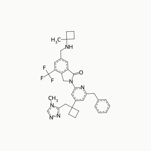 Cn1cnnc1CC1(c2cc(Cc3ccccc3)nc(N3Cc4c(cc(CNC5(C)CCC5)cc4C(F)(F)F)C3=O)c2)CCC1